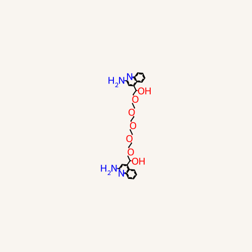 Nc1cc(C(O)COCCOCCOCCOCCOCC(O)c2cc(N)nc3ccccc23)c2ccccc2n1